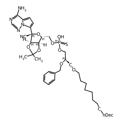 CCCCCCCCCCCCCCCCCCOC[C@H](CO[P@@](O)(=S)OC[C@H]1O[C@@](C#N)(c2ccc3c(N)ncnn23)[C@@H]2OC(C)(C)O[C@@H]21)OCc1ccccc1